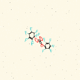 FOB(Oc1c(F)c(F)c(F)c(F)c1F)OC1(F)C(F)=C(F)C(F)=C(F)C1F